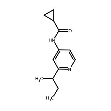 CCC(C)c1cc(NC(=O)C2CC2)ccn1